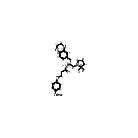 COc1ccc(OCCC(=O)N[C@@H](Cc2ccc3c(c2)OCCO3)CN2CCCC2(C)C)cc1